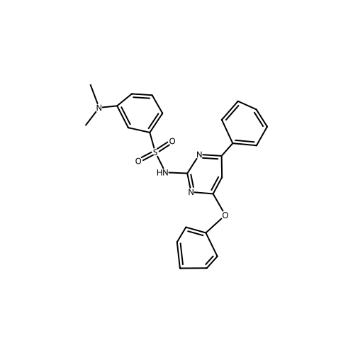 CN(C)c1cccc(S(=O)(=O)Nc2nc(Oc3ccccc3)cc(-c3ccccc3)n2)c1